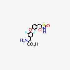 NC(Cc1cc(F)c(Oc2ccc(CC3SC(=O)NC3=O)cc2)c(F)c1)C(=O)O